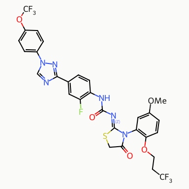 COc1ccc(OCCC(F)(F)F)c(N2C(=O)CS/C2=N\C(=O)Nc2ccc(-c3ncn(-c4ccc(OC(F)(F)F)cc4)n3)cc2F)c1